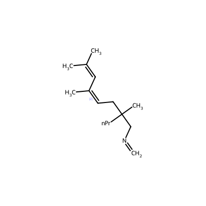 C=NCC(C)(C/C=C(/C)C=C(C)C)CCC